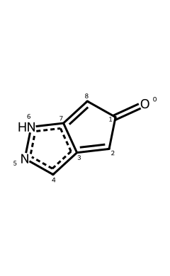 O=C1C=c2cn[nH]c2=C1